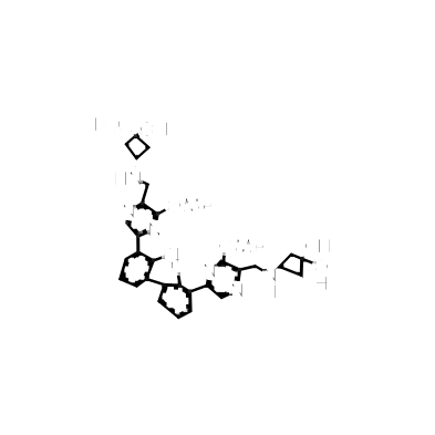 COc1nc(-c2cccc(-c3cccc(-c4cnc(CN[C@H]5C[C@](C)(O)C5)c(OC)n4)c3Cl)c2Cl)cnc1CN[C@H]1C[C@](C)(O)C1